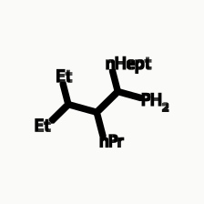 CCCCCCCC(P)C(CCC)C(CC)CC